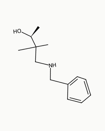 C[C@H](O)C(C)(C)CNCc1ccccc1